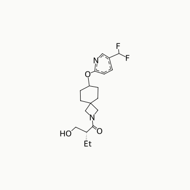 CC[C@H](CO)C(=O)N1CC2(CCC(Oc3ccc(C(F)F)cn3)CC2)C1